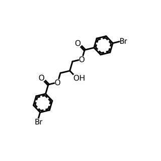 O=C(OCC(O)COC(=O)c1ccc(Br)cc1)c1ccc(Br)cc1